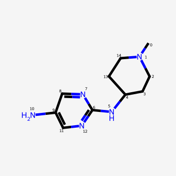 CN1CCC(Nc2ncc(N)cn2)CC1